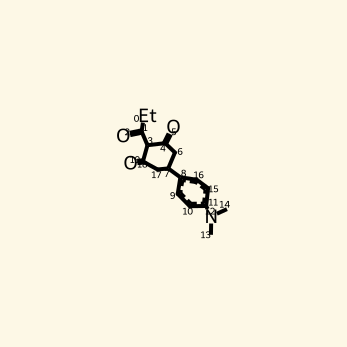 CCC(=O)C1C(=O)CC(c2ccc(N(C)C)cc2)CC1=O